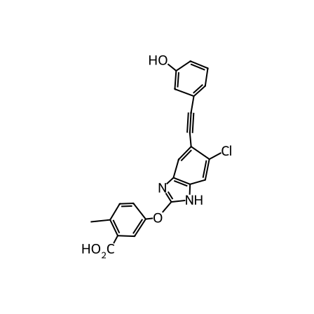 Cc1ccc(Oc2nc3cc(C#Cc4cccc(O)c4)c(Cl)cc3[nH]2)cc1C(=O)O